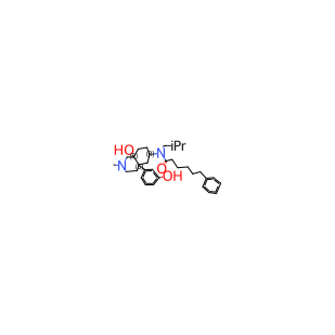 CC(C)CN(C(=O)CCCCCc1ccccc1)[C@@H]1CC[C@]2(O)CN(C)CC[C@@]2(c2cccc(O)c2)C1